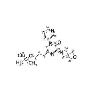 CC(C)(C)[Si](C)(C)OCCCc1cn(-c2cncnc2)c(=O)c(N2CC3(COC3)C2)n1